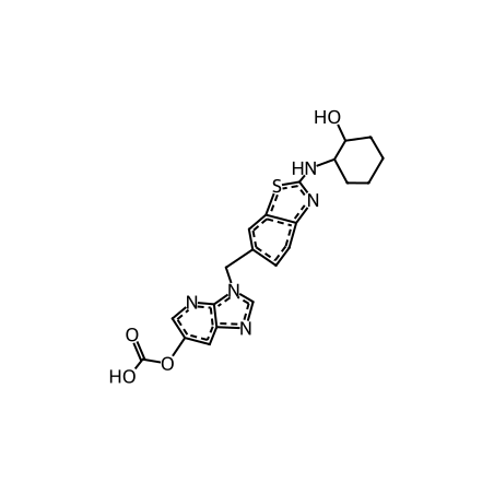 O=C(O)Oc1cnc2c(c1)ncn2Cc1ccc2nc(NC3CCCCC3O)sc2c1